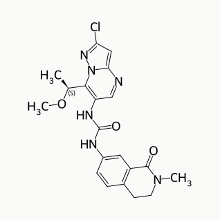 CO[C@@H](C)c1c(NC(=O)Nc2ccc3c(c2)C(=O)N(C)CC3)cnc2cc(Cl)nn12